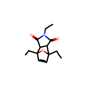 CCN1C(=O)C2C(C1=O)C1(CC)C=CC2(CC)O1